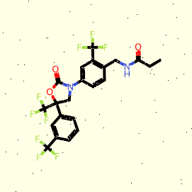 CCC(=O)NCc1ccc(N2CC(c3cccc(C(F)(F)F)c3)(C(F)(F)F)OC2=O)cc1C(F)(F)F